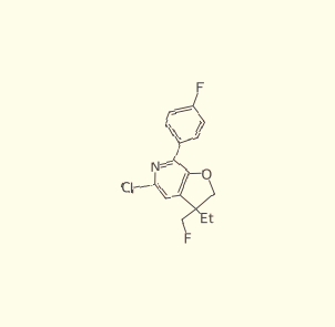 CCC1(CF)COc2c1cc(Cl)nc2-c1ccc(F)cc1